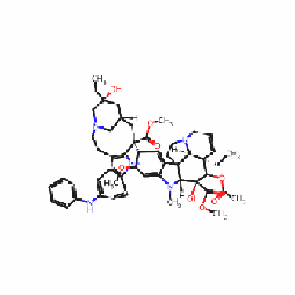 CC[C@]1(O)C[C@H]2CN(CCc3c([nH]c4ccc(Nc5ccccc5)cc34)[C@@](C(=O)OC)(C3C=C4C(=CC3OC)N(C)[C@H]3[C@@](O)(C(=O)OC)[C@H](OC(C)=O)[C@]5(CC)C=CCN6CC[C@]43[C@@H]65)C2)C1